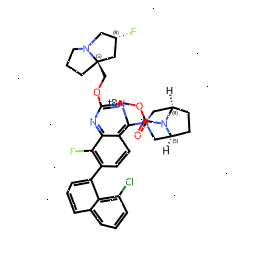 CC(C)(C)OC(=O)N1[C@@H]2CC[C@H]1CN(c1nc(OC[C@@]34CCCN3C[C@H](F)C4)nc3c(F)c(-c4cccc5cccc(Cl)c45)ccc13)C2